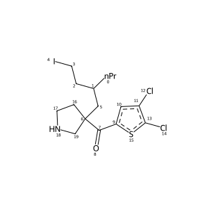 CCCC(CCI)CC1(C(=O)c2cc(Cl)c(Cl)s2)CCNC1